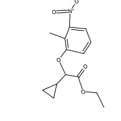 CCOC(=O)C(Oc1cccc([N+](=O)[O-])c1C)C1CC1